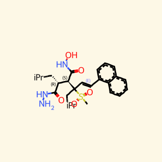 CC(C)C[C@@H](C(=O)NN)[C@@H](C(=O)NO)C(/C=C/c1cccc2ccccc12)(CC(C)C)S(C)(=O)=O